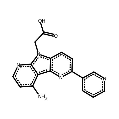 Nc1ccnc2c1c1nc(-c3cccnc3)ccc1n2CC(=O)O